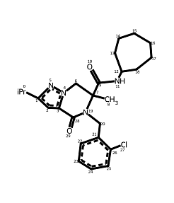 CC(C)c1cc2n(n1)CC(C)(C(=O)NC1CCCCCC1)N(Cc1ccccc1Cl)C2=O